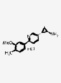 COc1cc(-c2ccc([C@@H]3C[C@H]3N)cn2)ccc1C.Cl